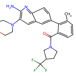 Cc1cccc(C(=O)N2CCC(C(F)(F)F)C2)c1-c1ccc2nc(N)c(N3CCOCC3)cc2c1